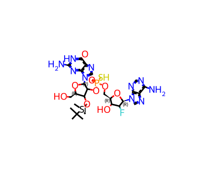 CC(C)(C)[Si](C)(C)OC1C(OP(=O)(S)OC[C@H]2O[C@@H](n3cnc4c(N)ncnc43)C(F)C2O)[C@H](n2cnc3c(=O)[nH]c(N)nc32)O[C@@H]1CO